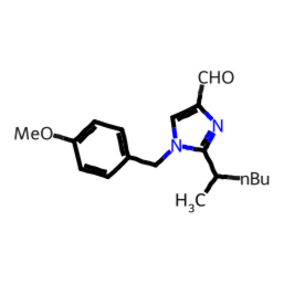 CCCCC(C)c1nc(C=O)cn1Cc1ccc(OC)cc1